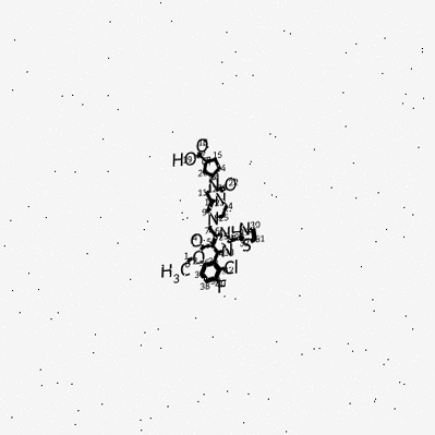 CCOC(=O)C1=C(CN2C=C3CN([C@H]4CC[C@H](C(=O)O)C4)C(=O)N3CC2)NC(c2nccs2)=NC1c1cccc(F)c1Cl